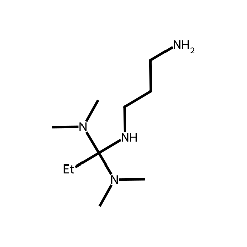 CCC(NCCCN)(N(C)C)N(C)C